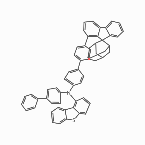 c1ccc(-c2ccc(N(c3ccc(-c4ccc(-c5cccc6c5C5(c7ccccc7-6)C6CC7CC(C6)CC5C7)cc4)cc3)c3cccc4sc5ccccc5c34)cc2)cc1